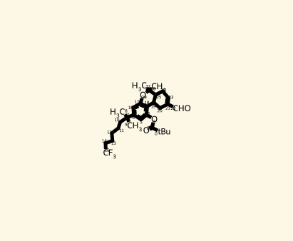 CC(C)(C)C(=O)Oc1cc(C(C)(C)CCCCCC(F)(F)F)cc2c1C1CC(C=O)=CCC1C(C)(C)O2